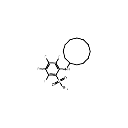 NS(=O)(=O)c1c(F)c(F)c(F)c(F)c1NC1CCCCCCCCCCC1